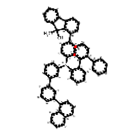 CC1(C)c2ccccc2-c2cccc(-c3ccc(N(c4cccc(-c5cccc(-c6cccc7ccccc67)c5)c4)c4ccccc4-c4ccccc4-c4ccccc4)cc3)c21